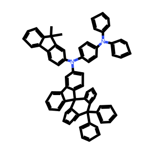 CC1(C)c2ccccc2-c2ccc(N(c3ccc(N(c4ccccc4)c4ccccc4)cc3)c3ccc4c(c3)-c3ccccc3C43c4ccccc4C(c4ccccc4)(c4ccccc4)c4ccccc43)cc21